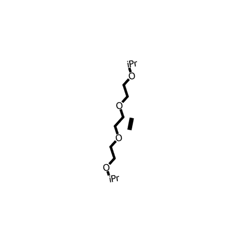 C=C.CC(C)OCCOCCOCCOC(C)C